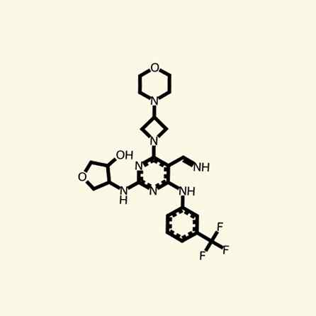 N=Cc1c(Nc2cccc(C(F)(F)F)c2)nc(NC2COCC2O)nc1N1CC(N2CCOCC2)C1